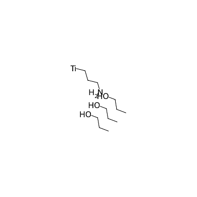 CCCO.CCCO.CCCO.NCC[CH2][Ti]